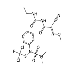 CCNC(=O)NC(=O)/C(C#N)=N/OC.CN(C)S(=O)(=O)N(SC(F)(Cl)Cl)c1ccccc1